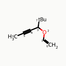 C=COC(C#CC)C(C)(C)C